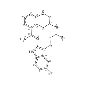 CCC(CCc1c[nH]c2ccc(F)cc12)NC1COc2cccc(C(N)=O)c2C1